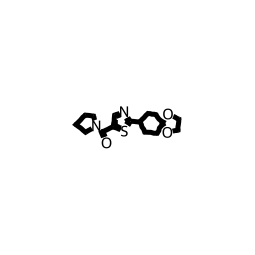 O=C(c1cnc(C2CCC3(CC2)OCCO3)s1)N1CCCC1